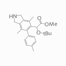 COC(=O)C(OC(C)(C)C)c1c(C)c2c(c(C)c1-c1ccc(C)cc1)CNC2